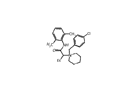 CCC(C(=O)Nc1c(C)cccc1C)[N+]1(Cc2ccc(Cl)cc2)CCCCC1